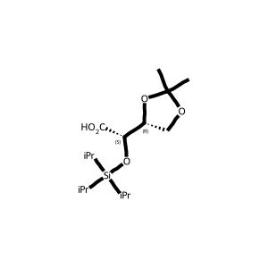 CC(C)[Si](O[C@H](C(=O)O)[C@H]1COC(C)(C)O1)(C(C)C)C(C)C